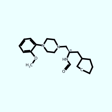 COc1ccccc1N1CCN(C[C@@H](CC2CCCCC2)NC=O)CC1